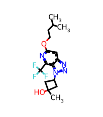 CC(C)CCOc1cc2nnn(C3CC(C)(O)C3)c2c(C(F)(F)F)n1